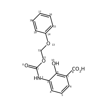 O=C(Nc1cccc(C(=O)O)c1O)OCOc1ccccc1